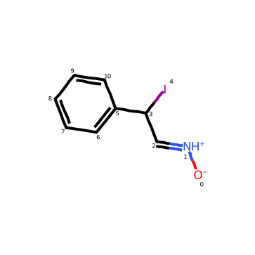 [O-][NH+]=CC(I)c1ccccc1